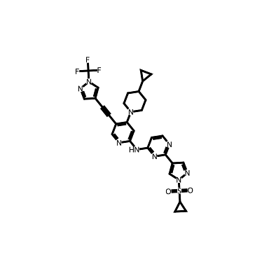 O=S(=O)(C1CC1)n1cc(-c2nccc(Nc3cc(N4CCC(C5CC5)CC4)c(C#Cc4cnn(C(F)(F)F)c4)cn3)n2)cn1